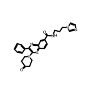 O=C1CCN(c2nc3ccc(C(=O)NCCCn4ccnc4)cc3nc2-c2ccccc2)CC1